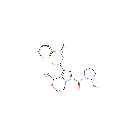 CC[C@@H](NC(=O)c1cc(C(=O)N2CCC[C@@H]2C)n2c1C(C)OCC2)c1ccccc1